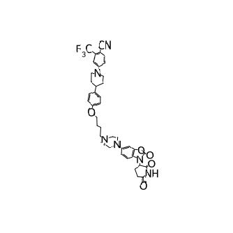 N#Cc1ccc(N2CCC(c3ccc(OCCCCN4CCN(c5ccc6c(c5)oc(=O)n6C5CCC(=O)NC5=O)CC4)cc3)CC2)cc1C(F)(F)F